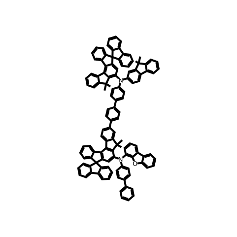 CC1(C)c2ccccc2-c2ccc(N(c3ccc(-c4ccc(-c5ccc6c(c5)C(C)(C)c5c(N(c7ccc(-c8ccccc8)cc7)c7cccc8c7oc7ccccc78)cc7c(c5-6)-c5ccccc5C75c6ccccc6-c6ccccc65)cc4)cc3)c3cc4c(c5c3C(C)(C)c3ccccc3-5)-c3ccccc3C43c4ccccc4-c4ccccc43)cc21